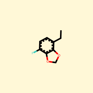 CCc1ccc(F)c2c1OCO2